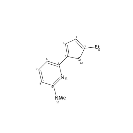 CCc1ccc(-c2cccc(NC)n2)s1